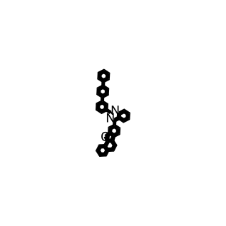 c1ccc(-c2ccc(-c3cccc(-c4nc(-c5ccc6c(c5)oc5c7ccccc7ccc65)c5ccccc5n4)c3)cc2)cc1